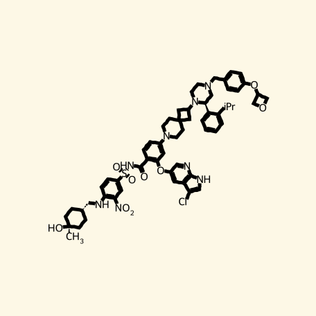 CC(C)c1ccccc1[C@@H]1CN(Cc2ccc(OC3COC3)cc2)CCN1C1CC2(CCN(c3ccc(C(=O)NS(=O)(=O)c4ccc(NC[C@H]5CC[C@](C)(O)CC5)c([N+](=O)[O-])c4)c(Oc4cnc5[nH]cc(Cl)c5c4)c3)CC2)C1